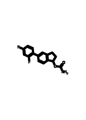 NC(=O)OC1CCc2cc(-c3ccc(F)cc3F)ccc21